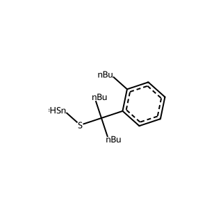 CCCCc1ccccc1C(CCCC)(CCCC)[S][SnH]